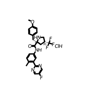 COc1ccc(C[C@@]2(C(=O)Nc3ccc(C)c(-c4ncc(F)cn4)c3)C[C@@H](C(F)(F)F)CN2)cc1.Cl